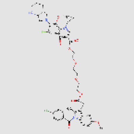 COc1ccc2c(c1)c(CC(=O)OCCOCCOCCOC(=O)c1cn(C3CC3)c3c(OC)c(N4CC5CCCNC5C4)c(F)cc3c1=O)c(C)n2C(=O)c1ccc(Cl)cc1